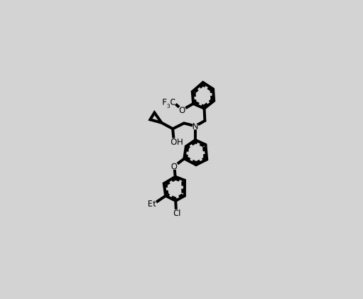 CCc1cc(Oc2cccc(N(Cc3ccccc3OC(F)(F)F)CC(O)C3CC3)c2)ccc1Cl